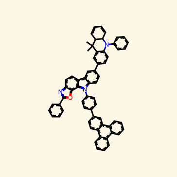 CC1(C)c2cc(-c3ccc4c(c3)c3ccc5nc(-c6ccccc6)oc5c3n4-c3ccc(-c4ccc5c6ccccc6c6ccccc6c5c4)cc3)ccc2N(c2ccccc2)C2C=CC=CC21